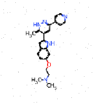 C=C1NN=C(c2ccncc2)C=C1c1cc2ccc(OCCN(C)C)cc2[nH]1